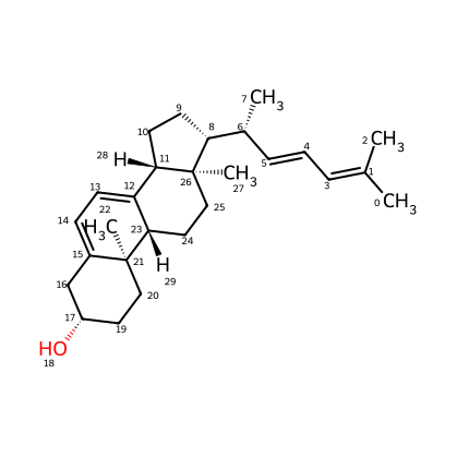 CC(C)=C/C=C/[C@@H](C)[C@H]1CC[C@H]2C3=CC=C4C[C@@H](O)CC[C@]4(C)[C@H]3CC[C@]12C